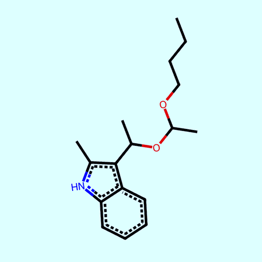 CCCCOC(C)OC(C)c1c(C)[nH]c2ccccc12